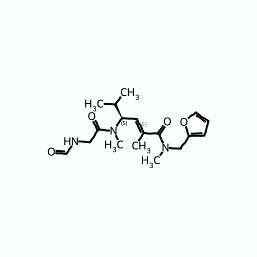 C/C(=C\[C@H](C(C)C)N(C)C(=O)CNC=O)C(=O)N(C)Cc1ccco1